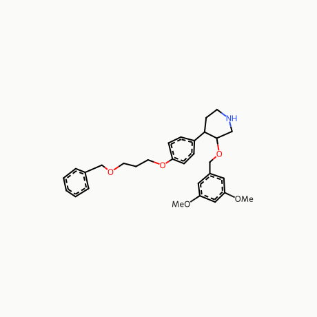 COc1cc(COC2CNCCC2c2ccc(OCCCOCc3ccccc3)cc2)cc(OC)c1